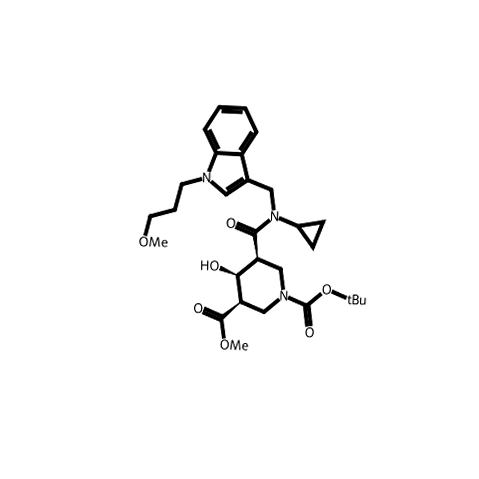 COCCCn1cc(CN(C(=O)[C@H]2CN(C(=O)OC(C)(C)C)C[C@@H](C(=O)OC)[C@H]2O)C2CC2)c2ccccc21